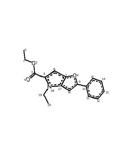 CCOC(=O)c1cc2oc(-c3ccccc3)cc2n1CC